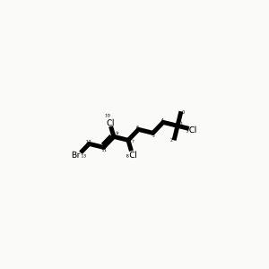 CC(C)(Cl)CCCC(Cl)C(Cl)=CCBr